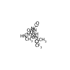 CCc1c(N2CCN[C@H](C)C2)c(=O)n2nc(C3=CCOCC3)nc2n1CC(=O)Nc1ccc(C(F)(F)F)cc1C